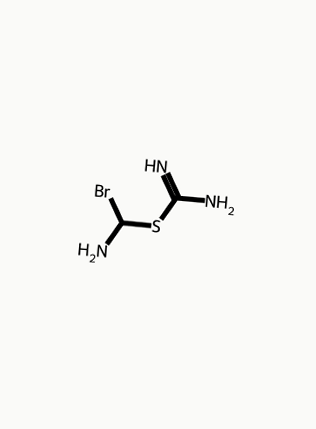 N=C(N)SC(N)Br